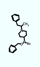 CC(=O)N(OCc1ccccc1)C1CCN(C(C)Cc2ccccc2)CC1